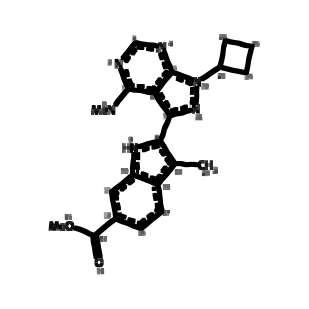 CNc1ncnc2c1c(-c1[nH]c3cc(C(=O)OC)ccc3c1C)nn2C1CCC1